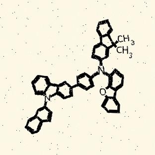 CC1(C)c2ccccc2-c2ccc(N(c3ccc(-c4ccc5c(c4)c4ccccc4n5-c4ccc5ccccc5c4)cc3)c3cccc4c3oc3ccccc34)cc21